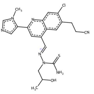 CC(O)CN(/N=C/c1cc(-c2cncn2C)nc2cc(Cl)c(CCC#N)cc12)C(N)=S